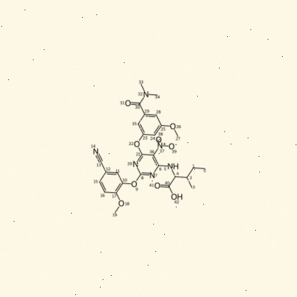 CCC(C)C(Nc1nc(Oc2cc(C#N)ccc2OC)nc(Oc2cc(OC)cc(C(=O)N(C)C)c2)c1[N+](=O)[O-])C(=O)O